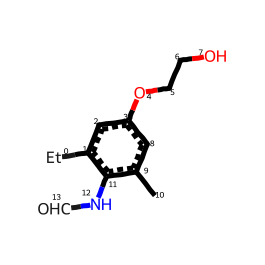 CCc1cc(OCCO)cc(C)c1NC=O